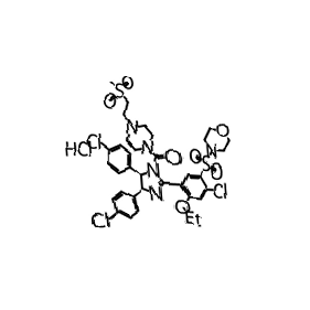 CCOc1cc(Cl)c(S(=O)(=O)N2CCOCC2)cc1C1=N[C@@H](c2ccc(Cl)cc2)[C@@H](c2ccc(Cl)cc2)N1C(=O)N1CCN(CCS(C)(=O)=O)CC1.Cl